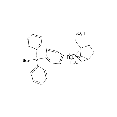 CC(C)(C)S(c1ccccc1)(c1ccccc1)c1ccccc1.CC1(C)C2CCC1(CS(=O)(=O)O)C(=O)C2